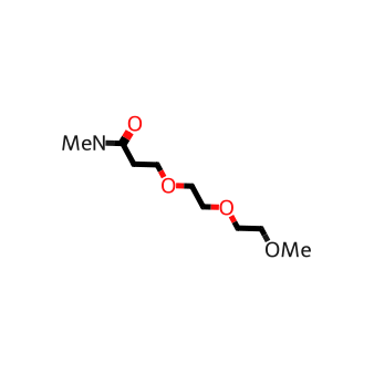 CNC(=O)CCOCCOCCOC